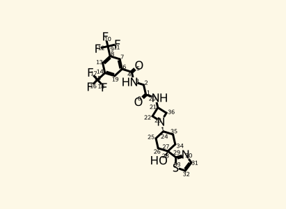 O=C(CNC(=O)c1cc(C(F)(F)F)cc(C(F)(F)F)c1)NC1CN([C@H]2CC[C@@](O)(c3nccs3)CC2)C1